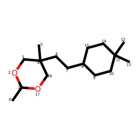 CC1OCC(C)(CCC2CCC(C)(C)CC2)CO1